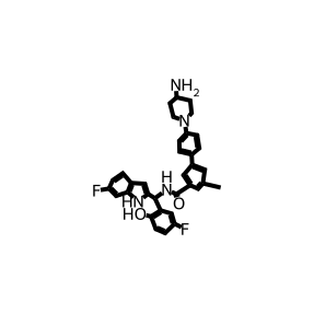 Cc1cc(C(=O)NC(c2cc3ccc(F)cc3[nH]2)c2cc(F)ccc2O)cc(-c2ccc(N3CCC(N)CC3)cc2)c1